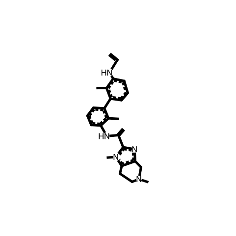 C=CNc1cccc(-c2cccc(NC(=C)c3nc4c(n3C)CCN(C)C4)c2C)c1C